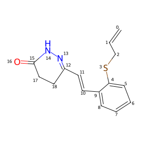 C=CCSc1ccccc1C=CC1=NNC(=O)CC1